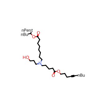 CCCCC#CCCCOC(=O)CCCCN(CCCO)CCCCCCCC(=O)OC(CCCC)CCCCC